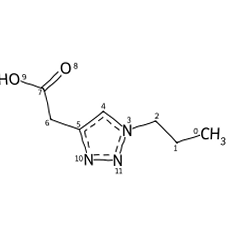 CCCn1cc(CC(=O)O)nn1